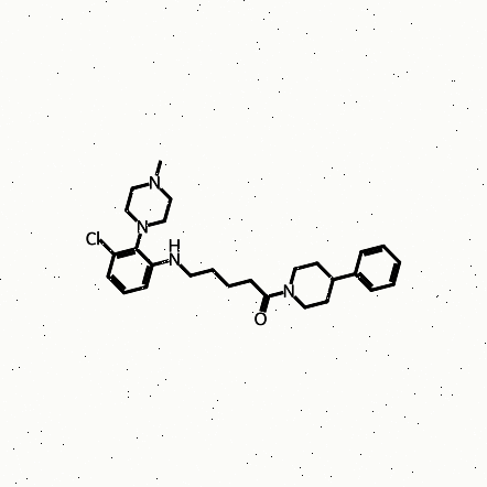 CN1CCN(c2c(Cl)cccc2NCCCCC(=O)N2CCC(c3ccccc3)CC2)CC1